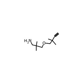 C#CC(C)(C)COCC(C)(C)CN